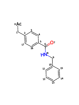 CC(=O)Cc1ccc(C(=O)NCc2ccccc2)cc1